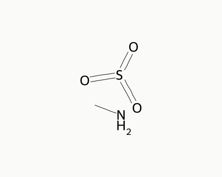 CN.O=S(=O)=O